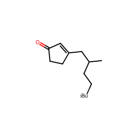 CCC(C)CCC(C)CC1=CC(=O)CC1